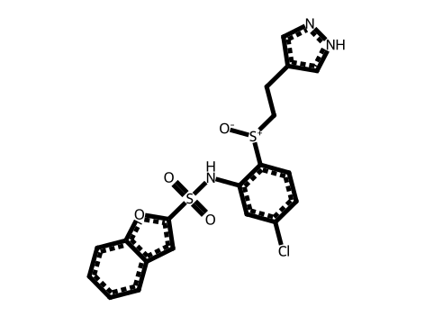 O=S(=O)(Nc1cc(Cl)ccc1[S+]([O-])CCc1cn[nH]c1)c1cc2ccccc2o1